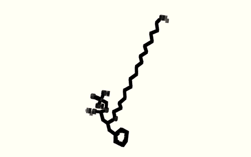 [CH2]C(CC(Cc1ccccc1)OCCCCCCCCCCCCCCCCCC)OCP(=O)(O)O